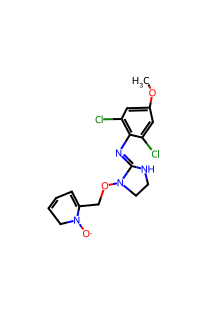 COc1cc(Cl)c(N=C2NCCN2OCC2=CC=CCN2[O])c(Cl)c1